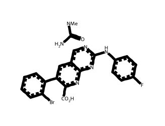 CNC(N)=O.O=C(O)c1nc2nc(Nc3ccc(F)cc3)ncc2cc1-c1ccccc1Br